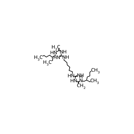 C=C(NCC(CC)CCCC)NC(=N)NCCCCCCNC(=N)NC(=C)NCC(CC)CCCC